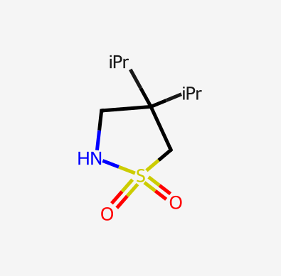 CC(C)C1(C(C)C)CNS(=O)(=O)C1